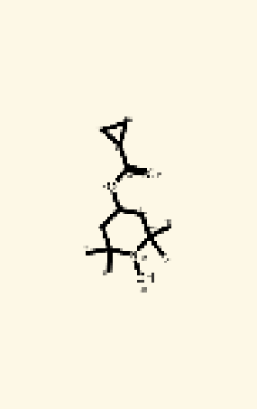 CC1(C)CC(OC(=O)C2CC2)CC(C)(C)N1O